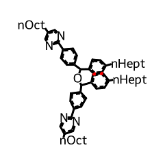 CCCCCCCCc1cnc(-c2ccc(C(OC(c3ccc(CCCCCCC)cc3)c3ccc(-c4ncc(CCCCCCCC)cn4)cc3)c3ccc(CCCCCCC)cc3)cc2)nc1